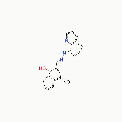 O=[N+]([O-])c1cc(C=NNc2cccc3cccnc23)c(O)c2ccccc12